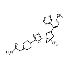 NC(=O)CN1CCC(c2nnc([C@]34CN(c5ccc(C(F)(F)F)c6ncccc56)C[C@@]3(C(F)(F)F)C4)o2)CC1